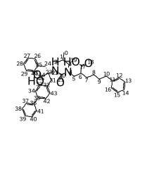 CC(C)CN(CC(CCCCc1ccccc1)C(=O)O)C(=O)N[C@@](Cc1ccccc1)(Cc1ccc(-c2ccccc2)cc1)C(=O)O